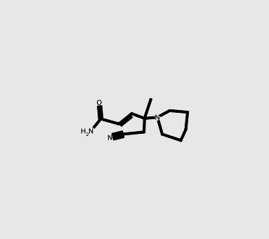 CC(C=CC(N)=O)(CC#N)N1CCCCC1